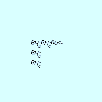 [BH4-].[BH4-].[BH4-].[BH4-].[Ru+4]